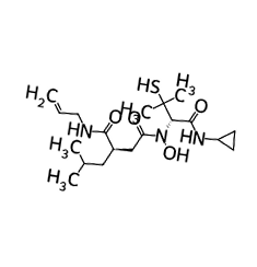 C=CCNC(=O)[C@@H](CC(=O)N(O)[C@@H](C(=O)NC1CC1)C(C)(C)S)CC(C)C